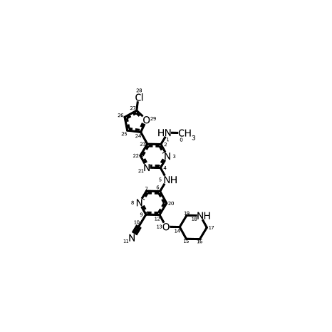 CNc1nc(Nc2cnc(C#N)c(OC3CCCNC3)c2)ncc1-c1ccc(Cl)o1